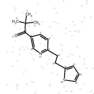 CC(C)(C)C(=O)c1ccc(CCc2cccs2)nc1